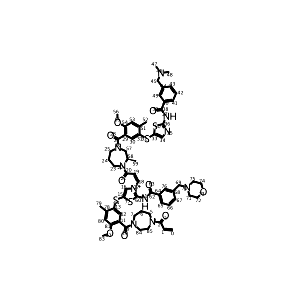 C=CC(=O)N1CCCN(C(=O)c2cc(Sc3c[n+](/C=C\C(=O)N4CCCN(C(=O)c5cc(Sc6cnc(NC(=O)c7cccc(CN(C)C)c7)s6)c(C)cc5OC)C[C@H]4C)c(NC(=O)c4cccc(CN5CCOCC5)c4)s3)c(C)cc2OC)CC1